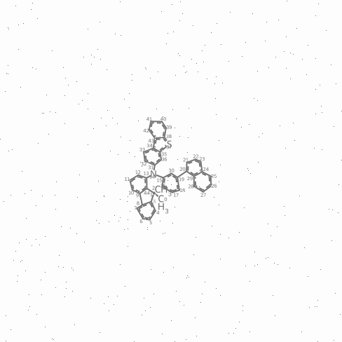 CC1(C)c2ccccc2-c2cccc(N(c3cccc(-c4cccc5ccccc45)c3)c3ccc4c(c3)sc3ccccc34)c21